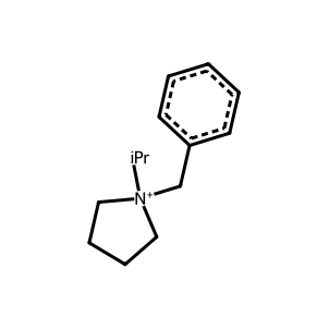 CC(C)[N+]1(Cc2ccccc2)CCCC1